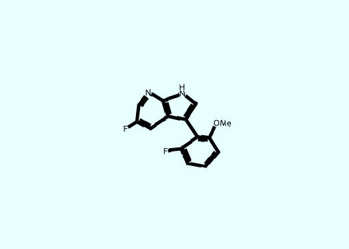 COc1cccc(F)c1-c1c[nH]c2ncc(F)cc12